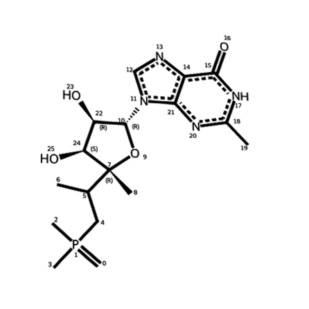 C=P(C)(C)CC(C)[C@@]1(C)O[C@@H](n2cnc3c(=O)[nH]c(C)nc32)[C@H](O)[C@@H]1O